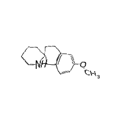 COc1ccc2c(c1)CCC1(CCCCN1)C2